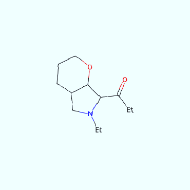 CCC(=O)C1C2OCCCC2CN1CC